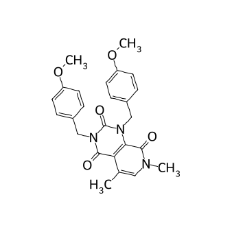 COc1ccc(Cn2c(=O)c3c(C)cn(C)c(=O)c3n(Cc3ccc(OC)cc3)c2=O)cc1